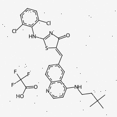 CC(C)(C)CCNc1ccnc2ccc(/C=C3\SC(Nc4c(Cl)cccc4Cl)=NC3=O)cc12.O=C(O)C(F)(F)F